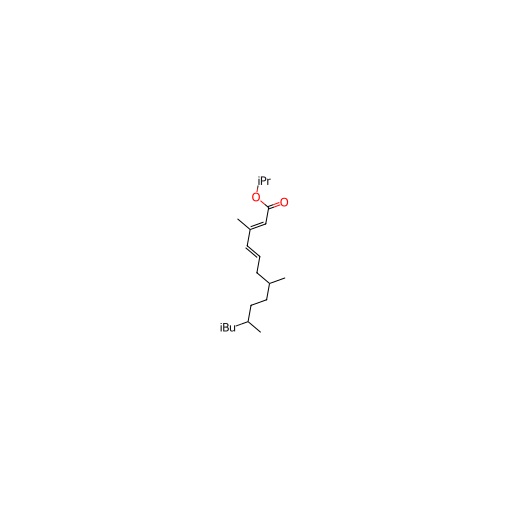 CCC(C)C(C)CCC(C)CC=CC(C)=CC(=O)OC(C)C